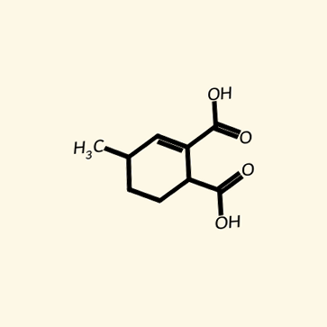 CC1C=C(C(=O)O)C(C(=O)O)CC1